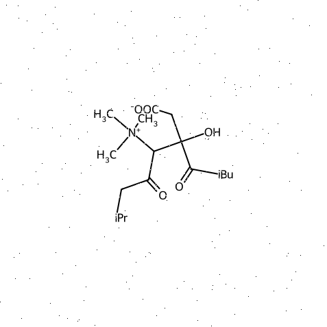 CCC(C)C(=O)C(O)(CC(=O)[O-])C(C(=O)CC(C)C)[N+](C)(C)C